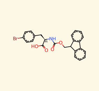 O=C(N[C@H](Cc1ccc(Br)cc1)C(=O)O)OCC1c2ccccc2-c2ccccc21